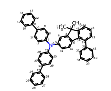 CC1(C)c2cc(N(c3ccc(-c4ccccc4)cc3)c3ccc(-c4ccccc4)cc3)ccc2-c2c(-c3ccccc3)cccc21